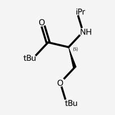 CC(C)N[C@@H](COC(C)(C)C)C(=O)C(C)(C)C